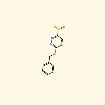 O=[SH](=O)c1ccc(OCc2ccccc2)nn1